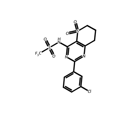 O=S1(=O)CCCc2nc(-c3cccc(Cl)c3)nc(NS(=O)(=O)C(F)(F)F)c21